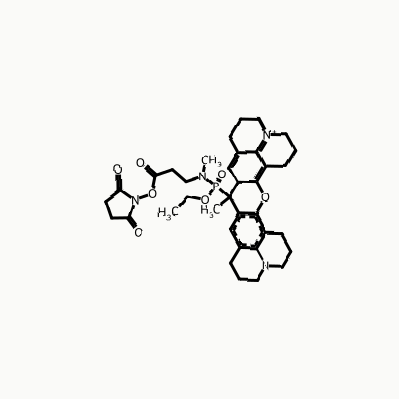 CCOP(=O)(N(C)CCC(=O)ON1C(=O)CCC1=O)C1(C)c2cc3c4c(c2OC2=C5CCC[N+]6=C5C(=CC21)CCC6)CCCN4CCC3